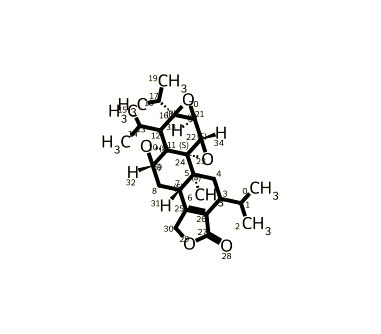 CC(C)C1C[C@@]2(C)[C@@H](C[C@@H]3O[C@@]34C(C(C)C)[C@@]3(C(C)C)O[C@H]3[C@@H]3O[C@]324)C2=C1C(=O)OC2